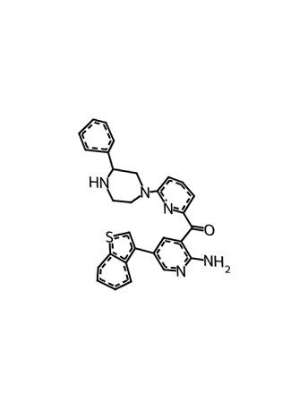 Nc1ncc(-c2csc3ccccc23)cc1C(=O)c1cccc(N2CCNC(c3ccccc3)C2)n1